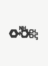 CC1(C)CCN(c2ccccc2)CC1.N